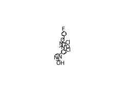 Cc1nc(OCc2ccc(F)cc2)c(Cl)c(=O)n1-c1cc(-c2ccnc(C(C)(C)O)n2)ccc1Cl